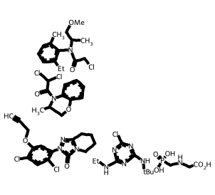 C#CCOc1cc(-n2nc3n(c2=O)CCCC3)c(Cl)cc1Cl.CC1COc2ccccc2N1C(=O)C(Cl)Cl.CCNc1nc(Cl)nc(NC(C)(C)C)n1.CCc1cccc(C)c1N(C(=O)CCl)C(C)COC.O=C(O)CNCP(=O)(O)O